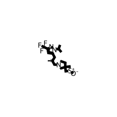 CC(C)n1nc(C(F)(F)F)cc1C[C@H](C)CN1CCC2(C1)C[S+]([O-])C2